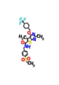 CCS(=O)(=O)c1ccc(CNC(=O)c2sc3nc(C)nc(OCC4CCC(C(F)(F)F)CC4)c3c2C)cc1